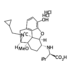 CO[C@@]12CC[C@@H](N[C@@H](C(=O)O)C(C)C)[C@@H]3Oc4c(O)ccc5c4[C@@]31CCN(CC1CC1)[C@@H]2C5.Cl.Cl